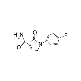 NC(=O)C1=CCN(c2ccc(F)cc2)C1=O